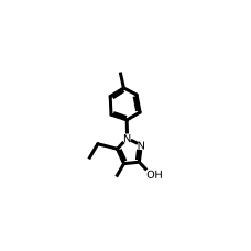 CCc1c(C)c(O)nn1-c1ccc(C)cc1